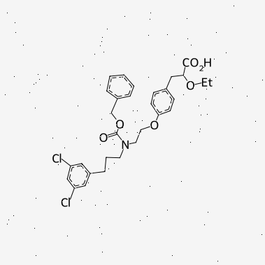 CCOC(Cc1ccc(OCCN(CCCc2cc(Cl)cc(Cl)c2)C(=O)OCc2ccccc2)cc1)C(=O)O